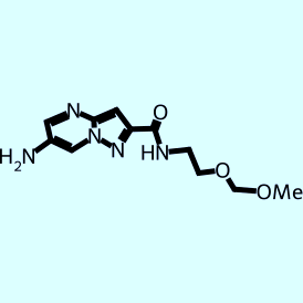 COCOCCNC(=O)c1cc2ncc(N)cn2n1